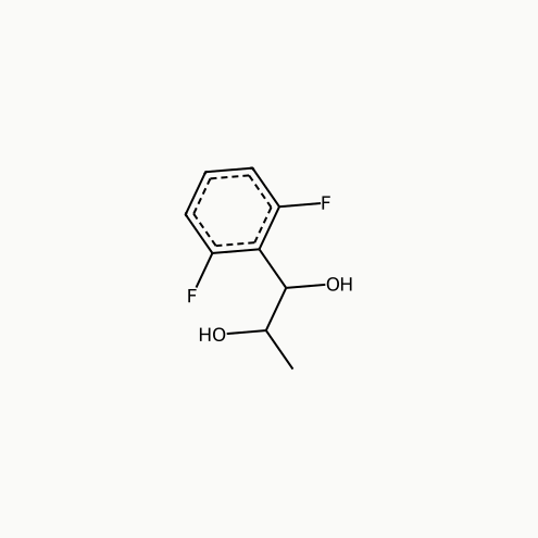 CC(O)C(O)c1c(F)cccc1F